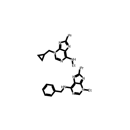 CCNc1ncn(CC2CC2)c2nc(C(C)C)nc1-2.CCn1cnc(NCc2ccccc2)c2nc(C(C)C)nc1-2